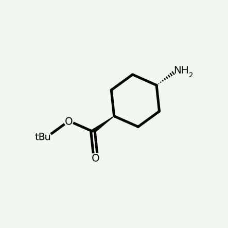 CC(C)(C)OC(=O)[C@H]1CC[C@H](N)CC1